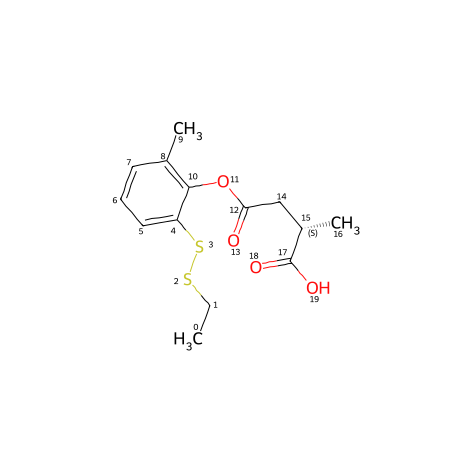 CCSSc1cccc(C)c1OC(=O)C[C@H](C)C(=O)O